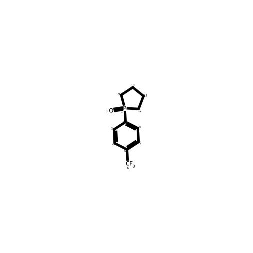 O=P1(c2ccc(C(F)(F)F)cc2)CCCC1